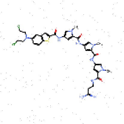 Cn1cc(NC(=O)c2cc(NC(=O)c3cc(NC(=O)c4cc5cc(N(CCCl)CCCl)ccc5s4)cn3C)cn2C)cc1C(=O)NCCC(=N)N